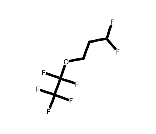 FC(F)CCOC(F)(F)C(F)(F)F